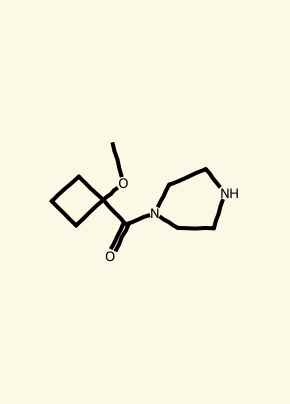 COC1(C(=O)N2CCNCC2)CCC1